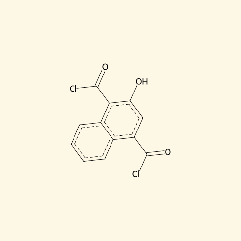 O=C(Cl)c1cc(O)c(C(=O)Cl)c2ccccc12